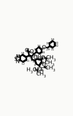 CC(C)Oc1cc(CC2=C(c3ccc4nsnc4c3)C(=O)OC2(O)c2ccc(OCc3ccccc3)cc2)cc(OC(C)C)c1OC(C)C